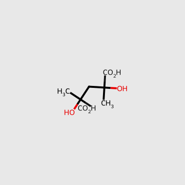 CC(O)(CC(C)(O)C(=O)O)C(=O)O